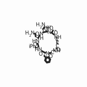 CC(C)C[C@@H]1NC(=O)[C@@H](Cc2ccccc2)NC(=O)CNC(=O)CCCNC(=O)C([C@@H](C)O)NC(=O)[C@H](CCN)NC(=O)[C@H](CCN)NC1=O